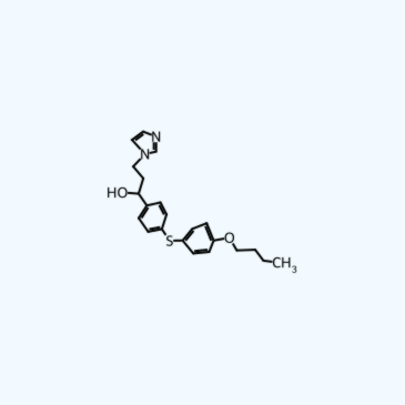 CCCCOc1ccc(Sc2ccc(C(O)CCn3ccnc3)cc2)cc1